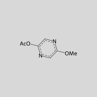 COc1cnc(OC(C)=O)cn1